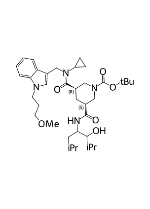 COCCCn1cc(CN(C(=O)[C@@H]2C[C@H](C(=O)NC(CC(C)C)C(O)C(C)C)CN(C(=O)OC(C)(C)C)C2)C2CC2)c2ccccc21